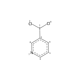 ClI(Cl)c1cccnc1